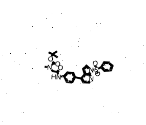 CN(CC(=O)Nc1ccc(-c2ccnc3c2ccn3S(=O)(=O)c2ccccc2)cc1)C(=O)OC(C)(C)C